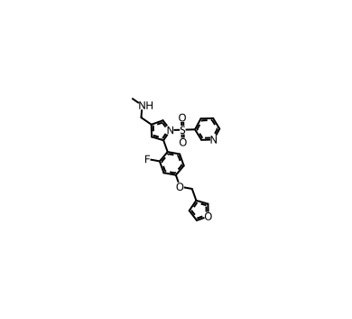 CNCc1cc(-c2ccc(OCc3ccoc3)cc2F)n(S(=O)(=O)c2cccnc2)c1